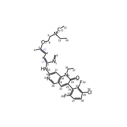 C=N/C(=C\C=C(/C)OCCN(CC)CC)Nc1cc2c(cn1)cc(-c1c(F)ccc(Cl)c1F)c(=O)n2CC